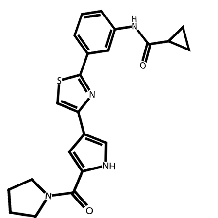 O=C(Nc1cccc(-c2nc(-c3c[nH]c(C(=O)N4CCCC4)c3)cs2)c1)C1CC1